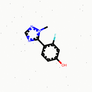 Cn1ncnc1-c1ccc(O)cc1F